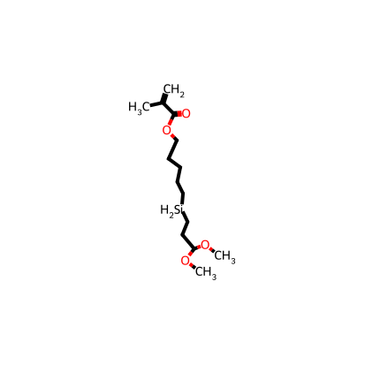 C=C(C)C(=O)OCCCCC[SiH2]CCC(OC)OC